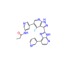 CCC(=O)Nc1cncc(-c2cnc3[nH]nc(-c4nc5c(-c6cccnc6)ccnc5[nH]4)c3c2F)c1